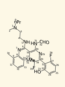 CCCN(C)CCN/C(=N/c1c(C)cccc1SC)c1cc(F)c(-c2c(O)cccc2F)nc1NC=O